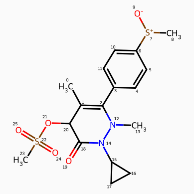 CC1=C(c2ccc([S+](C)[O-])cc2)N(C)N(C2CC2)C(=O)C1OS(C)(=O)=O